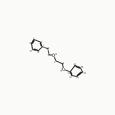 [c]1ccc(CCOCCOc2ccccc2)cc1